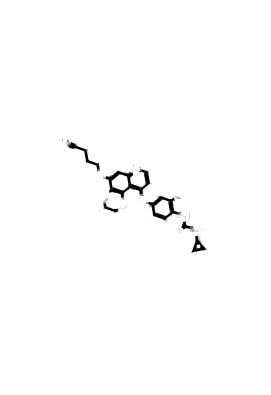 N#CCCCOc1cc2nccc(Oc3ccc(NC(=O)NC4CC4)c(Cl)c3)c2c2c1OCCO2